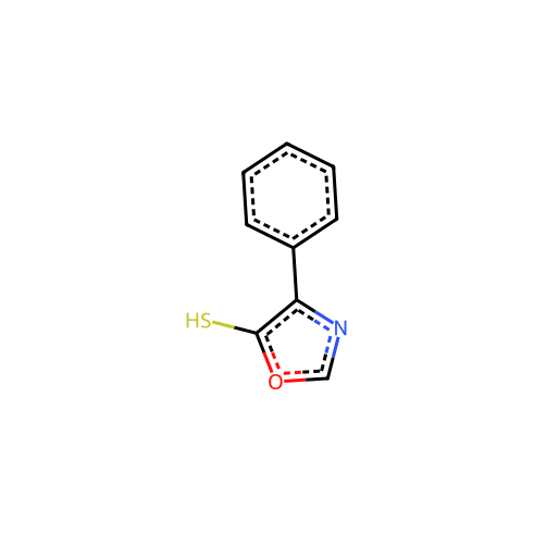 Sc1ocnc1-c1ccccc1